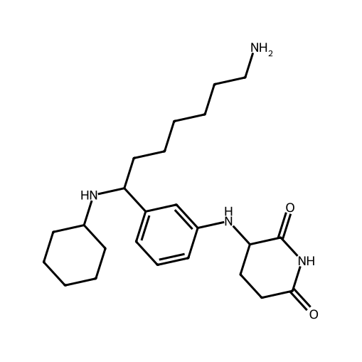 NCCCCCCC(NC1CCCCC1)c1cccc(NC2CCC(=O)NC2=O)c1